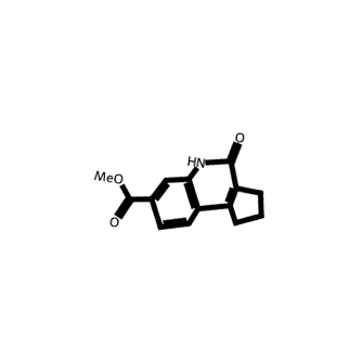 COC(=O)c1ccc2c3c(c(=O)[nH]c2c1)CCC3